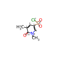 Cc1cc(S(=O)(=O)Cl)cn(C)c1=O